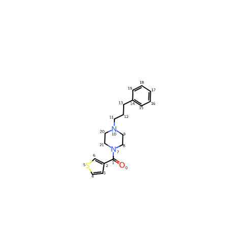 O=C(c1ccsc1)N1CCN(CCCc2ccccc2)CC1